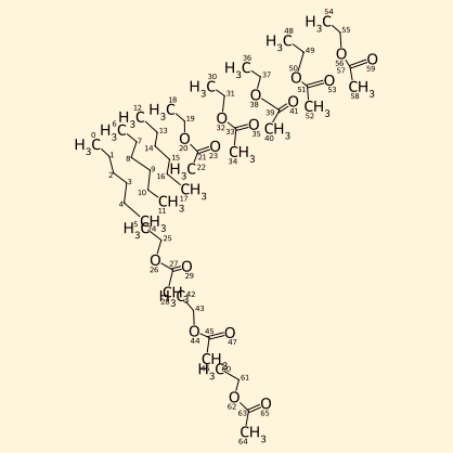 CCCCCC.CCCCCC.CCCCCC.CCOC(C)=O.CCOC(C)=O.CCOC(C)=O.CCOC(C)=O.CCOC(C)=O.CCOC(C)=O.CCOC(C)=O.CCOC(C)=O